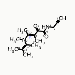 C#CCNC(=O)C(=O)/C(C)=C(\C)N(C)C(C)=C(C)C